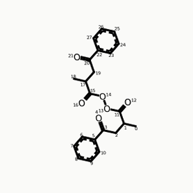 CC(CC(=O)c1ccccc1)C(=O)OOC(=O)C(C)CC(=O)c1ccccc1